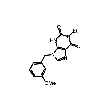 CCn1c(=O)[nH]c2c(ncn2Cc2cccc(OC)c2)c1=O